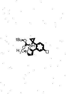 Cn1ccc(-c2cc(Cl)ccc2C2(NC(=O)OC(C)(C)C)CC2)n1